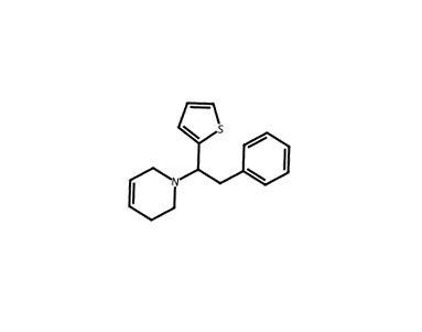 C1=CCN(C(Cc2ccccc2)c2cccs2)CC1